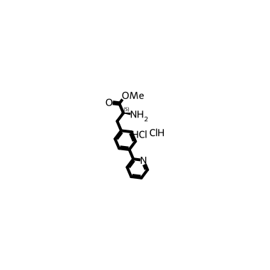 COC(=O)[C@@H](N)Cc1ccc(-c2ccccn2)cc1.Cl.Cl